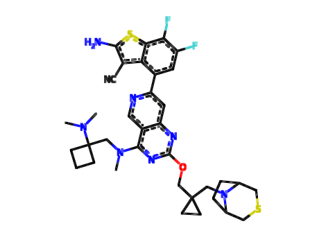 CN(CC1(N(C)C)CCC1)c1nc(OCC2(CN3C4CCC3CSC4)CC2)nc2cc(-c3cc(F)c(F)c4sc(N)c(C#N)c34)ncc12